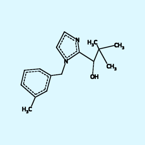 Cc1cccc(Cn2ccnc2C(O)C(C)(C)C)c1